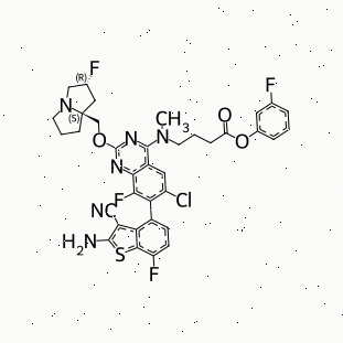 CN(CCCC(=O)Oc1cccc(F)c1)c1nc(OC[C@@]23CCCN2C[C@H](F)C3)nc2c(F)c(-c3ccc(F)c4sc(N)c(C#N)c34)c(Cl)cc12